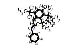 CC(C)(C)c1cc(O)c(C(C)(C)C)c(C(C)(C)C)c1C/C=C/c1ccccc1